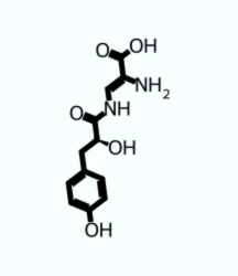 NC(=CNC(=O)[C@@H](O)Cc1ccc(O)cc1)C(=O)O